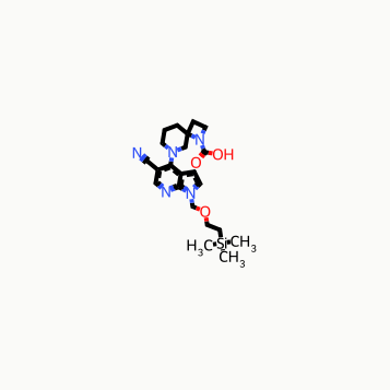 C[Si](C)(C)CCOCn1ccc2c(N3CCCC4(CCN4C(=O)O)C3)c(C#N)cnc21